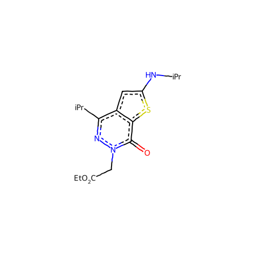 CCOC(=O)Cn1nc(C(C)C)c2cc(NC(C)C)sc2c1=O